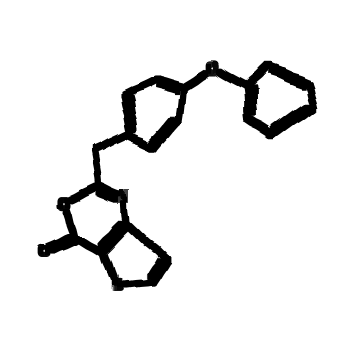 O=c1oc(Cc2ccc(Oc3ccccc3)cc2)nc2ccsc12